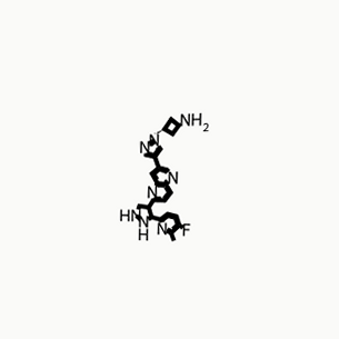 Cc1nc(C2NNCC2c2ccc3ncc(-c4cnn(C[C@H]5C[C@H](N)C5)c4)cc3n2)ccc1F